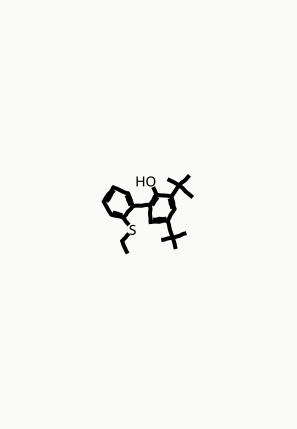 CCSc1ccccc1-c1cc(C(C)(C)C)cc(C(C)(C)C)c1O